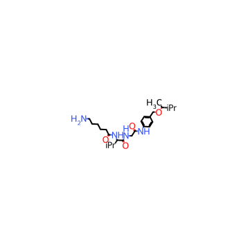 CC(C)C(C)OCc1ccc(NC(=O)CNC(=O)C(NC(=O)CCCCCN)C(C)C)cc1